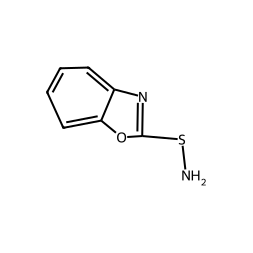 NSc1nc2ccccc2o1